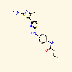 CCCCC(=O)Nc1ccc(Nc2nc(-c3sc(N)nc3C)cs2)cc1